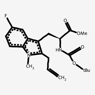 C=CCc1c(C[C@H](NC(=O)OC(C)(C)C)C(=O)OC)c2cc(F)ccc2n1C